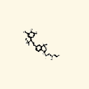 CCC[S+]([O-])C[C@@H](C)NC(=O)c1ccc(/C=C/C(c2cc(Cl)c(Cl)c(Cl)c2)C(F)(F)F)cc1C(F)(F)F